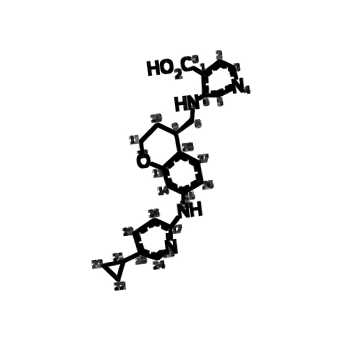 O=C(O)c1ccncc1NC[C@@H]1CCOc2cc(Nc3ccc(C4CC4)cn3)ccc21